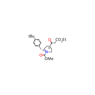 CCOC(=O)CC(=O)[C@H]1CCN(C(=O)OC)[C@H](Cc2ccc(C(C)(C)C)cc2)C1